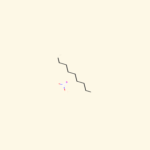 CCCCCCCCC.O=[N+]([O-])O